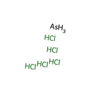 Cl.Cl.Cl.Cl.Cl.[AsH3]